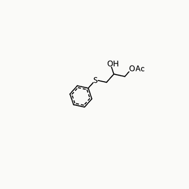 CC(=O)OCC(O)CSc1ccccc1